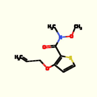 C=CCOc1ccsc1C(=O)N(C)OC